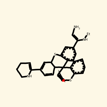 CCN/C(=C\N)c1ccc2c(c1)SC1C=C(C3=CCCCN3)C=CC1C21c2ccccc2Sc2ccccc21